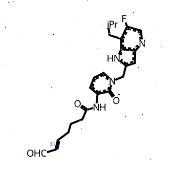 CC(C)Cc1c(F)cnc2cc(Cn3cccc(NC(=O)CCC/C=C/C=O)c3=O)[nH]c12